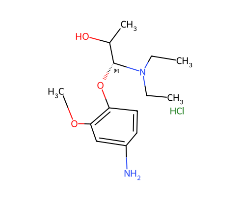 CCN(CC)[C@H](Oc1ccc(N)cc1OC)C(C)O.Cl